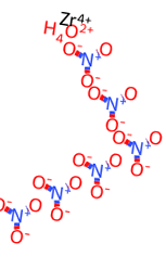 O=[N+]([O-])[O-].O=[N+]([O-])[O-].O=[N+]([O-])[O-].O=[N+]([O-])[O-].O=[N+]([O-])[O-].O=[N+]([O-])[O-].[OH4+2].[Zr+4]